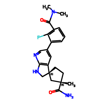 CN(C)C(=O)c1cccc(-c2cnc3c(c2)[C@@]2(CC[C@](C)(C(N)=O)C2)CN3)c1F